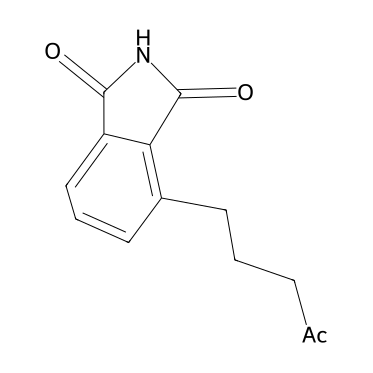 CC(=O)CCCc1cccc2c1C(=O)NC2=O